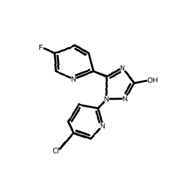 Oc1nc(-c2ccc(F)cn2)n(-c2ccc(Cl)cn2)n1